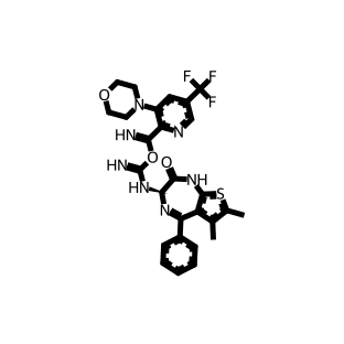 Cc1sc2c(c1C)C(c1ccccc1)=N[C@@H](NC(=N)OC(=N)c1ncc(C(F)(F)F)cc1N1CCOCC1)C(=O)N2